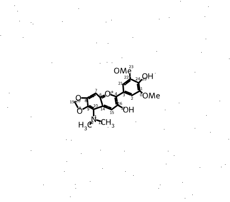 COc1cc(-c2[o+]c3cc4c(c(N(C)C)c3cc2O)OCO4)cc(OC)c1O